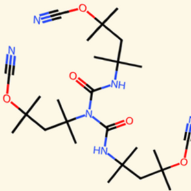 CC(C)(CC(C)(C)OC#N)NC(=O)N(C(=O)NC(C)(C)CC(C)(C)OC#N)C(C)(C)CC(C)(C)OC#N